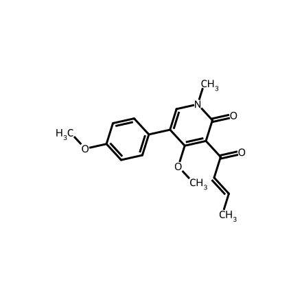 CC=CC(=O)c1c(OC)c(-c2ccc(OC)cc2)cn(C)c1=O